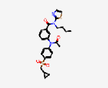 CCCCN(C(=O)c1cccc(N(C(C)=O)c2ccc(S(=O)(=O)CC3CC3)cc2)c1)c1nccs1